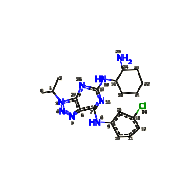 CC(C)n1nnc2c(Nc3cccc(Cl)c3)nc(NC3CCCCC3N)nc21